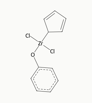 [Cl][Zr]([Cl])([O]c1ccccc1)[CH]1C=CC=C1